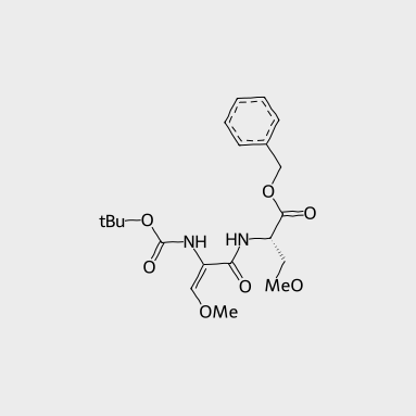 CO/C=C(/NC(=O)OC(C)(C)C)C(=O)N[C@@H](COC)C(=O)OCc1ccccc1